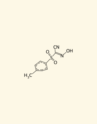 Cc1ccc(S(=O)(=O)C(C#N)=NO)cc1